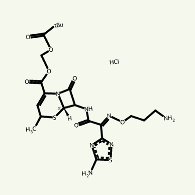 CC1C=C(C(=O)OCOC(=O)C(C)(C)C)N2C(=O)C(NC(=O)C(=NOCCCN)c3nsc(N)n3)[C@@H]2S1.Cl